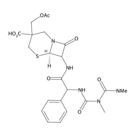 CNC(=O)N(C)C(=O)NC(C(=O)NC1C(=O)N2CC(COC(C)=O)(C(=O)O)CS[C@H]12)c1ccccc1